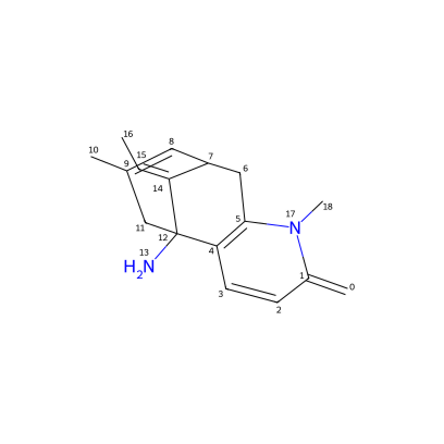 C=C1C=CC2=C(CC3C=C(C)CC2(N)/C3=C/C)N1C